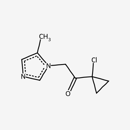 Cc1cncn1CC(=O)C1(Cl)CC1